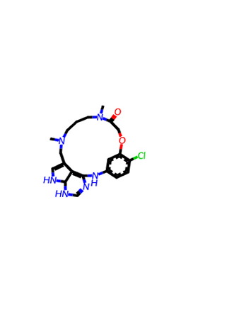 CN1CCCN(C)C(=O)COc2cc(ccc2Cl)NC2=C3C(=CNC3NC=N2)C1